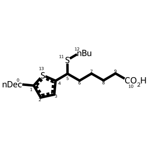 CCCCCCCCCCc1ccc(C(CCCCC(=O)O)SCCCC)s1